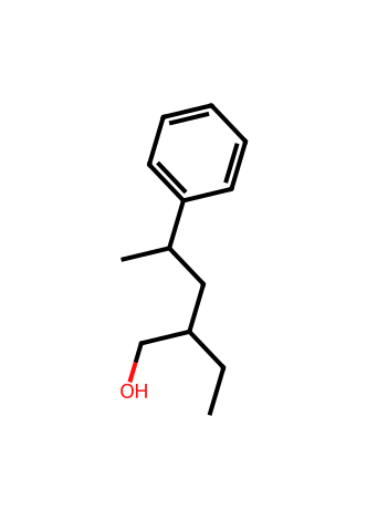 CCC(CO)CC(C)c1ccccc1